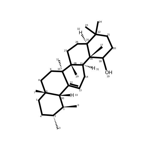 C[C@H]1[C@H](C)CC[C@]2(C)CC[C@]3(C)C(=CC[C@@H]4[C@@]5(C)C(O)CCC(C)(C)[C@@H]5CC[C@]43C)[C@H]12